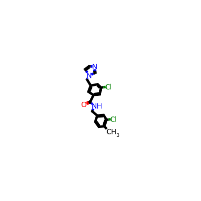 Cc1ccc(CNC(=O)c2cc(Cl)cc(Cn3ccnc3)c2)cc1Cl